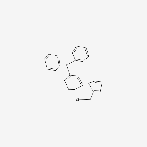 ClCc1cccs1.c1ccc(P(c2ccccc2)c2ccccc2)cc1